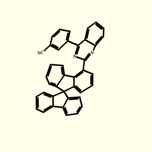 N#Cc1cccc(-c2nc(-c3cccc4c3-c3ccccc3C43c4ccccc4-c4ccccc43)nc3ccccc23)c1